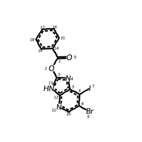 O=C(Oc1nc2c(I)c(Br)cnc2[nH]1)c1ccccc1